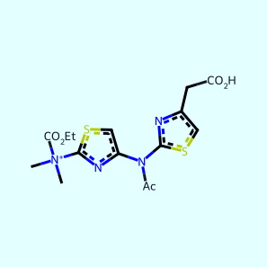 CCOC(=O)[N+](C)(C)c1nc(N(C(C)=O)c2nc(CC(=O)O)cs2)cs1